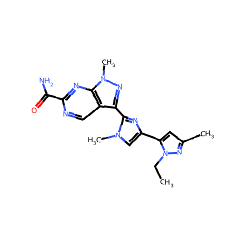 CCn1nc(C)cc1-c1cn(C)c(-c2nn(C)c3nc(C(N)=O)ncc23)n1